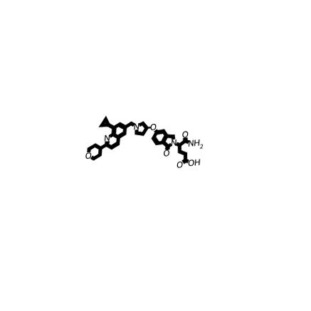 NC(=O)C(CCC(=O)O)N1Cc2cc(O[C@H]3CCN(Cc4cc(C5CC5)c5nc(C6CCOCC6)ccc5c4)C3)ccc2C1=O